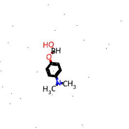 CN(C)c1ccc(OBO)cc1